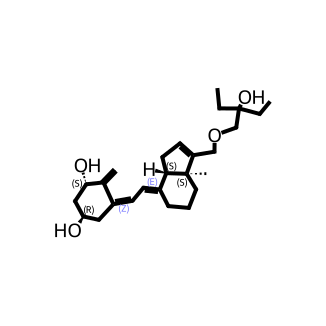 C=C1/C(=C\C=C2/CCC[C@]3(C)C(COCC(O)(CC)CC)=CC[C@@H]23)C[C@@H](O)C[C@@H]1O